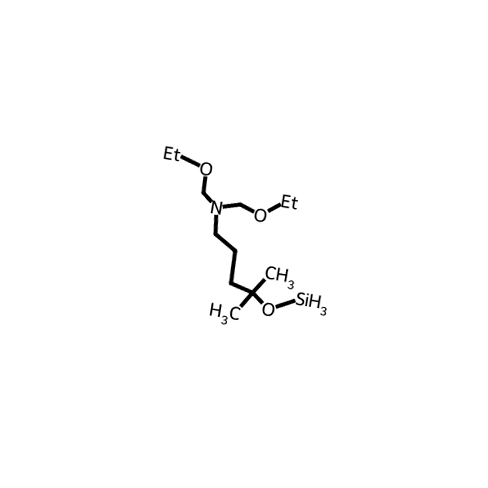 CCOCN(CCCC(C)(C)O[SiH3])COCC